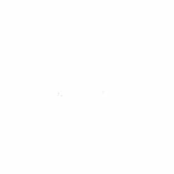 C=C(C)C[Si](CC)(CC)CCN1CCCCC1